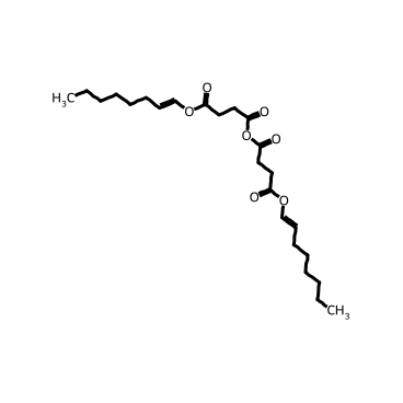 CCCCCCC=COC(=O)CCC(=O)OC(=O)CCC(=O)OC=CCCCCCC